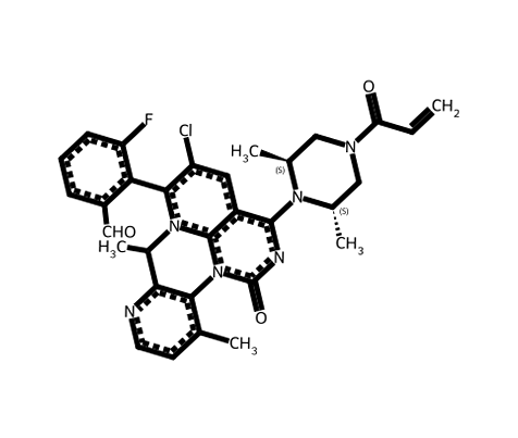 C=CC(=O)N1C[C@H](C)N(c2nc(=O)n3c4c2cc(Cl)c(-c2c(F)cccc2C=O)[n+]4C(C)c2nccc(C)c2-3)[C@@H](C)C1